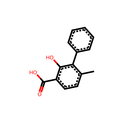 Cc1ccc(C(=O)O)c(O)c1-c1ccccc1